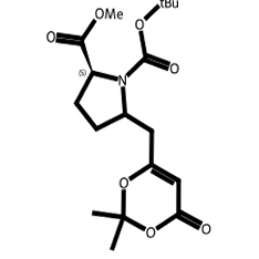 COC(=O)[C@@H]1CCC(CC2=CC(=O)OC(C)(C)O2)N1C(=O)OC(C)(C)C